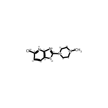 CN1CCN(c2nc3nc(Cl)ccc3s2)CC1